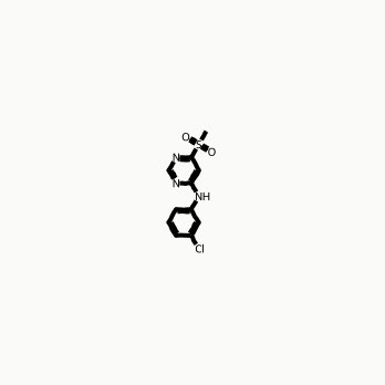 CS(=O)(=O)c1cc(Nc2cccc(Cl)c2)ncn1